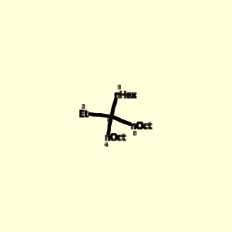 CCCCCCCCC(CC)(CCCCCC)CCCCCCCC